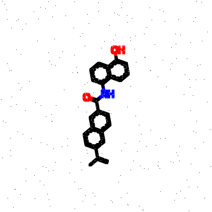 C=C(C)c1ccc2cc(C(=O)Nc3cccc4c(O)cccc34)ccc2c1